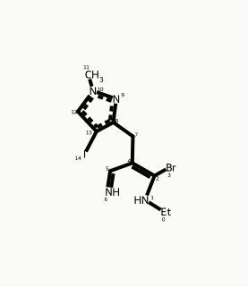 CCN/C(Br)=C(\C=N)Cc1nn(C)cc1I